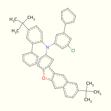 CC(C)(C)c1ccc(N(c2cc(Cl)cc(-c3ccccc3)c2)c2ccc3oc4cc5ccc(C(C)(C)C)cc5cc4c3c2)c(-c2ccccc2)c1